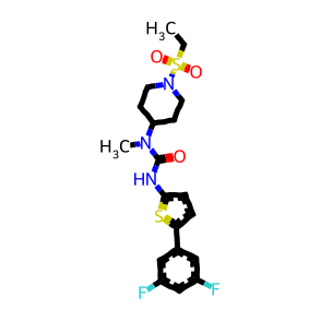 CCS(=O)(=O)N1CCC(N(C)C(=O)Nc2ccc(-c3cc(F)cc(F)c3)s2)CC1